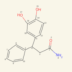 NC(=O)CC(c1ccccc1)c1ccc(O)c(O)c1